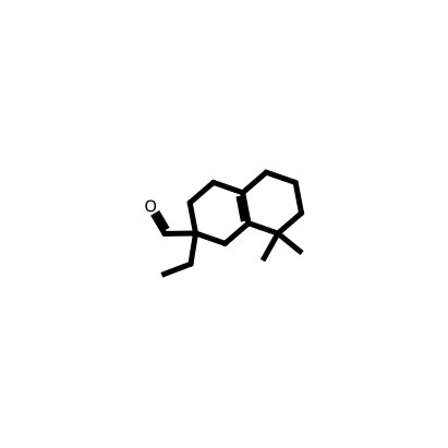 CCC1(C=O)CCC2=C(C1)C(C)(C)CCC2